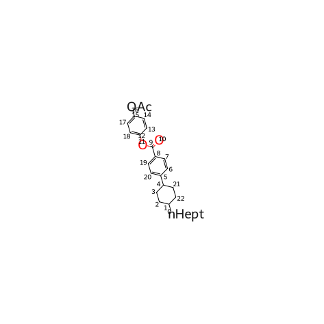 CCCCCCCC1CCC(c2ccc(C(=O)Oc3ccc(OC(C)=O)cc3)cc2)CC1